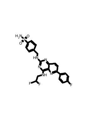 NS(=O)(=O)c1ccc(CNc2nc(NCC(F)F)c3nc(-c4ccc(F)cc4)ccc3n2)cc1